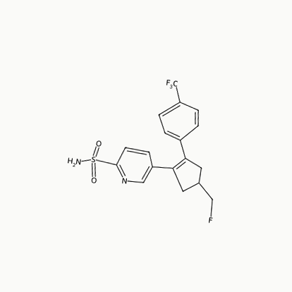 NS(=O)(=O)c1ccc(C2=C(c3ccc(C(F)(F)F)cc3)CC(CF)C2)cn1